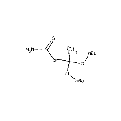 CCCCOC(C)(OCCCC)SC(N)=S